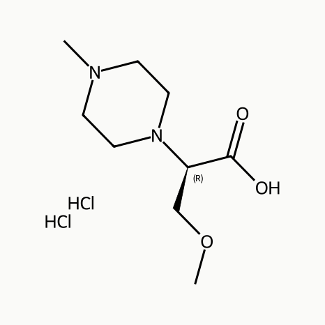 COC[C@H](C(=O)O)N1CCN(C)CC1.Cl.Cl